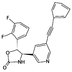 O=C1N[C@H](c2cncc(C#Cc3ccccc3)c2)[C@@H](c2cccc(F)c2F)O1